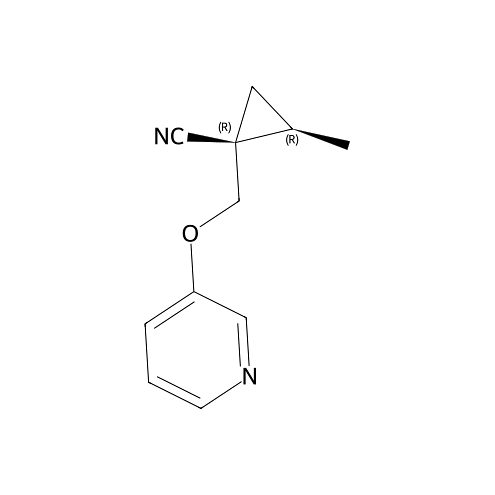 C[C@@H]1C[C@@]1(C#N)COc1cccnc1